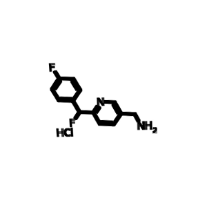 Cl.NCc1ccc(C(F)c2ccc(F)cc2)nc1